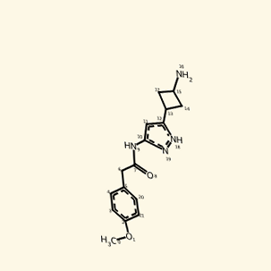 COc1ccc(CC(=O)Nc2cc(C3CC(N)C3)[nH]n2)cc1